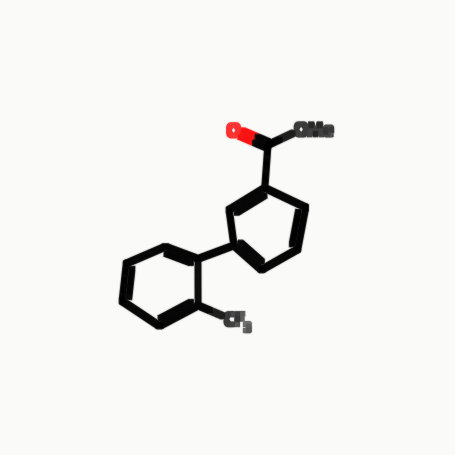 COC(=O)c1cccc(-c2ccccc2C(F)(F)F)c1